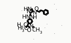 CCN1C(=O)C(C)(C)c2cc3[nH]c(-c4n[nH]cc4NC(=O)C=Cc4ccccc4)nc3cc21